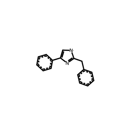 C1=C(c2ccccc2)N=C(Cc2ccccc2)[N]1